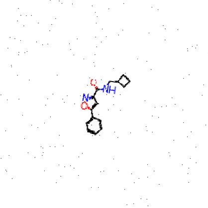 O=C(NCC1CCC1)c1cc(-c2ccccc2)on1